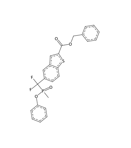 CP(=O)(Oc1ccccc1)C(F)(F)c1ccc2sc(C(=O)OCc3ccccc3)cc2c1